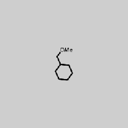 COCC1CC[CH]CC1